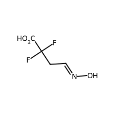 O=C(O)C(F)(F)CC=NO